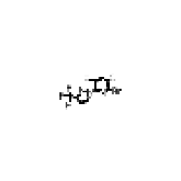 Fc1cc(Cl)c(Br)nc1-n1ccc(C(F)(F)F)n1